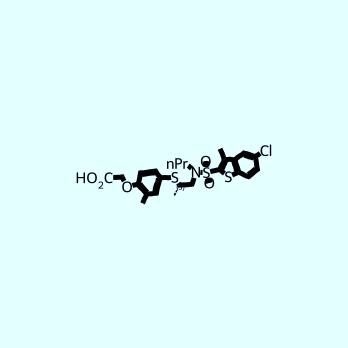 CCCN(C[C@H](C)Sc1ccc(OCC(=O)O)c(C)c1)S(=O)(=O)c1sc2ccc(Cl)cc2c1C